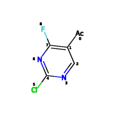 CC(=O)c1cnc(Cl)nc1F